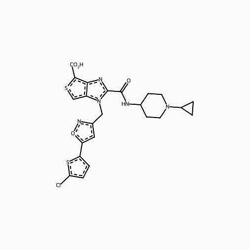 O=C(O)c1scc2c1nc(C(=O)NC1CCN(C3CC3)CC1)n2Cc1cc(-c2ccc(Cl)s2)on1